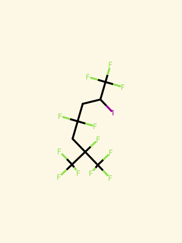 FC(F)(CC(I)C(F)(F)F)CC(F)(C(F)(F)F)C(F)(F)F